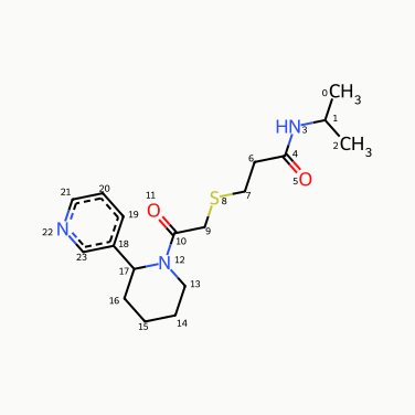 CC(C)NC(=O)CCSCC(=O)N1CCCCC1c1cccnc1